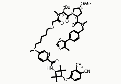 CO[C@@H]1C[C@@H](C(=O)N(C)Cc2ccc(-c3scnc3C)cc2)N(C(=O)[C@@H](N(C)C(=O)COCCCCCN(C)c2ccc(C(=O)N[C@H]3C(C)(C)[C@H](Oc4ccc(C#N)c(C(F)(F)F)c4)C3(C)C)nc2)C(C)(C)C)C1